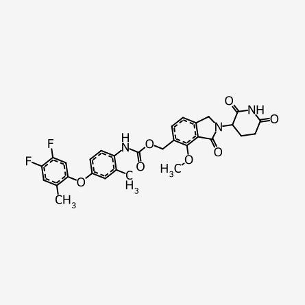 COc1c(COC(=O)Nc2ccc(Oc3cc(F)c(F)cc3C)cc2C)ccc2c1C(=O)N(C1CCC(=O)NC1=O)C2